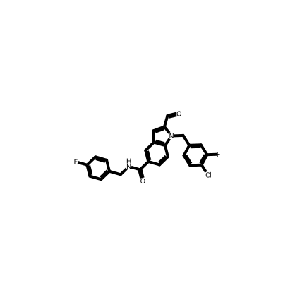 O=Cc1cc2cc(C(=O)NCc3ccc(F)cc3)ccc2n1Cc1ccc(Cl)c(F)c1